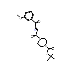 COc1cccc(C(=O)/C=C/C(=O)N2CCN(C(=O)OC(C)(C)C)CC2)c1